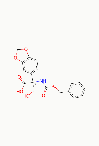 O=C(N[C@@](CO)(C(=O)O)c1ccc2c(c1)OCO2)OCc1ccccc1